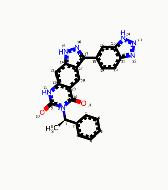 C[C@H](c1ccccc1)n1c(=O)[nH]c2cc3[nH]nc(-c4ccc5nn[nH]c5c4)c3cc2c1=O